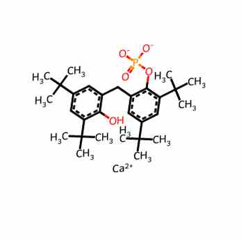 CC(C)(C)c1cc(Cc2cc(C(C)(C)C)cc(C(C)(C)C)c2OP(=O)([O-])[O-])c(O)c(C(C)(C)C)c1.[Ca+2]